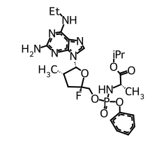 CCNc1nc(N)nc2c1ncn2[C@@H]1O[C@](F)(COP(=O)(N[C@@H](C)C(=O)OC(C)C)Oc2ccccc2)C[C@@H]1C